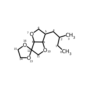 CCC(C)CC1COC2C1OCC21OCCO1